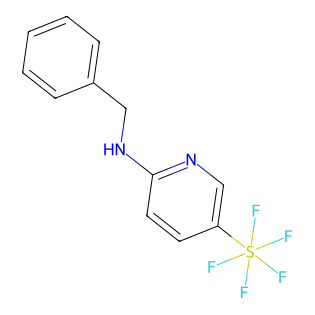 FS(F)(F)(F)(F)c1ccc(NCc2ccccc2)nc1